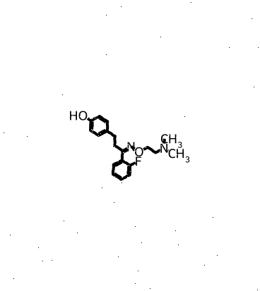 CN(C)CCON=C(CCc1ccc(O)cc1)c1ccccc1F